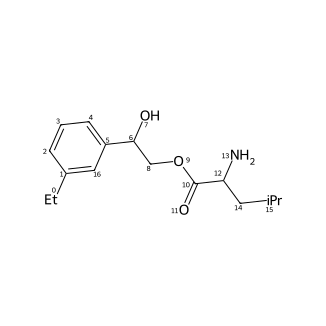 CCc1cccc(C(O)COC(=O)C(N)CC(C)C)c1